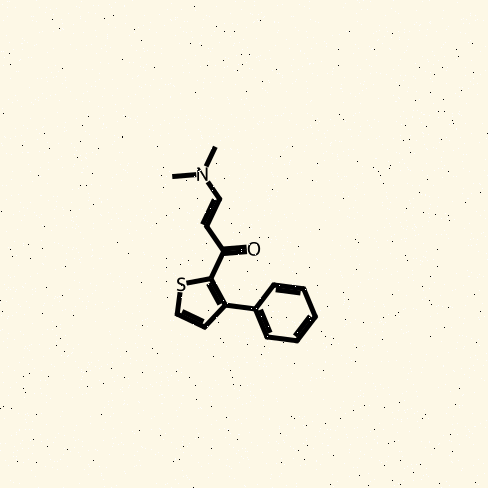 CN(C)/C=C/C(=O)c1sccc1-c1ccccc1